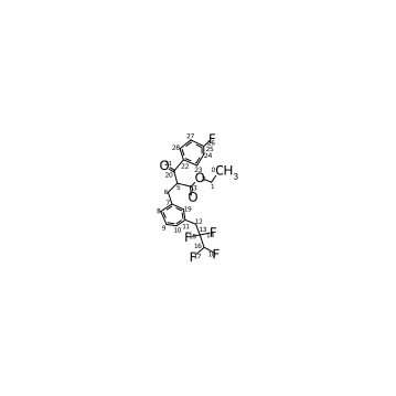 CCOC(=O)C(Cc1cccc(CC(F)(F)C(F)F)c1)C(=O)c1ccc(F)cc1